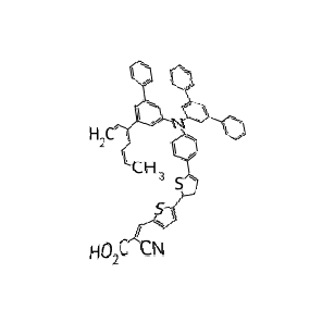 C=C/C(=C\C=C/C)c1cc(-c2ccccc2)cc(N(c2ccc(C3=CCC(c4ccc(/C=C(\C#N)C(=O)O)s4)S3)cc2)c2cc(-c3ccccc3)cc(-c3ccccc3)c2)c1